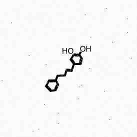 Oc1ccc(C=CCCc2ccccc2)cc1O